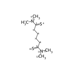 CN(C)C(=S)CCCCC(=S)N(C)C